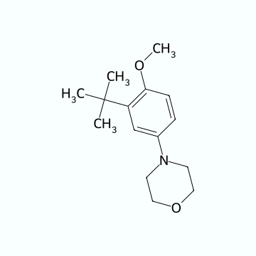 COc1ccc(N2CCOCC2)cc1C(C)(C)C